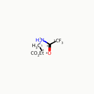 CCOC(C)=O.NC(=O)C(F)(F)F